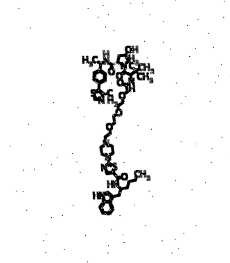 CCCCC(Cc1c[nH]c2ccccc12)NC(=O)c1cnc(N2CCN(CCOCCOCCOCC(=O)NC(C(=O)N3C[C@H](O)C[C@H]3C(=O)NC(C)c3ccc(-c4scnc4C)cc3)C(C)(C)C)CC2)s1